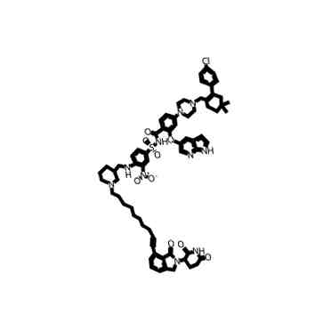 CC1(C)CCC(CN2CCN(c3ccc(C(=O)NS(=O)(=O)c4ccc(NCC5CCCN(CCCCCCCCC#Cc6cccc7c6C(=O)N(C6CCC(=O)NC6=O)C7)C5)c([N+](=O)[O-])c4)c(Oc4cnc5[nH]ccc5c4)c3)CC2)=C(c2ccc(Cl)cc2)C1